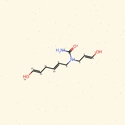 NC(=O)N(CC=CO)CC=CCC=CO